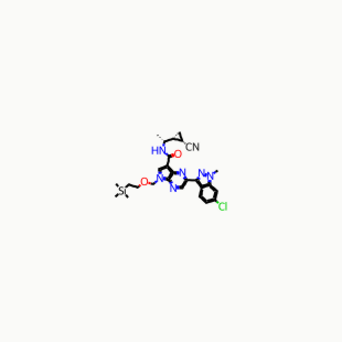 C[C@@H](NC(=O)c1cn(COCC[Si](C)(C)C)c2ncc(-c3nn(C)c4cc(Cl)ccc34)nc12)[C@@H]1C[C@@H]1C#N